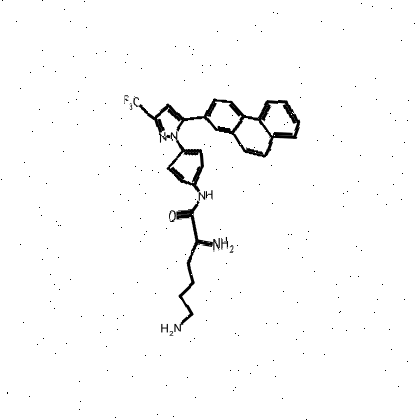 NCCCCC(N)C(=O)Nc1ccc(-n2nc(C(F)(F)F)cc2-c2ccc3c(ccc4ccccc43)c2)cc1